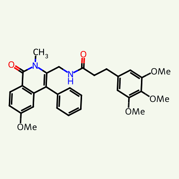 COc1ccc2c(=O)n(C)c(CNC(=O)CCc3cc(OC)c(OC)c(OC)c3)c(-c3ccccc3)c2c1